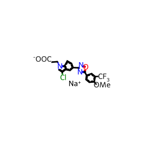 COc1ccc(-c2nc(-c3ccc4c(c3)c(Cl)cn4CCC(=O)[O-])no2)cc1C(F)(F)F.[Na+]